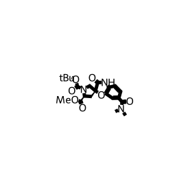 COC(=O)[C@@H]1C[C@]2(CN1C(=O)OC(C)(C)C)Oc1cc(C(=O)N(C)C)ccc1NC2=O